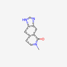 Cn1ccc2cc3[nH]cnc3cc2c1=O